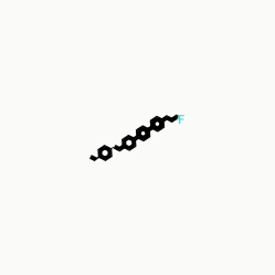 CC[C@H]1CC[C@H](CCC2CCC(c3ccc(-c4ccc(CCCF)cc4)cc3)CC2)CC1